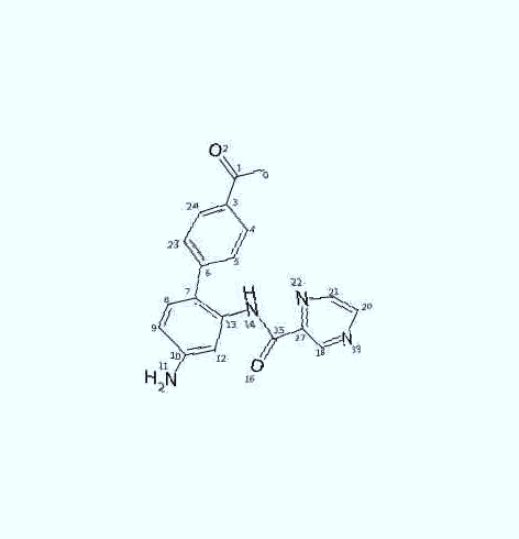 CC(=O)c1ccc(-c2ccc(N)cc2NC(=O)c2cnccn2)cc1